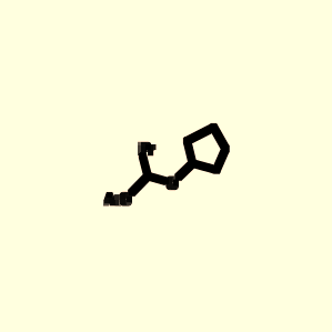 CC(=O)OC(OC1CCCC1)C(C)C